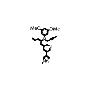 C=C/C=C(\C=C1\C=C(c2cnn(C)c2)C=NC1)N(CC#CC)c1cc(OC)cc(OC)c1